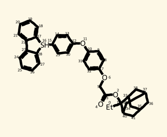 CCC1(OC(=O)COc2ccc(Oc3ccc([SH]4c5ccccc5-c5ccccc54)cc3)cc2)C2CC3CC(C2)CC1C3